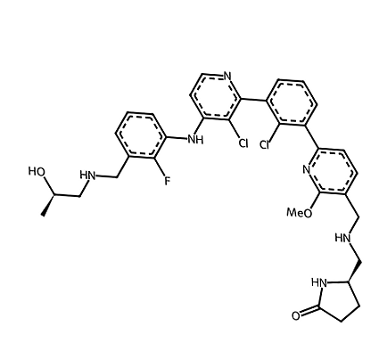 COc1nc(-c2cccc(-c3nccc(Nc4cccc(CNC[C@@H](C)O)c4F)c3Cl)c2Cl)ccc1CNC[C@H]1CCC(=O)N1